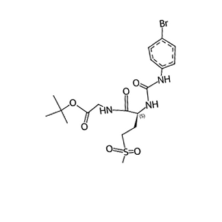 CC(C)(C)OC(=O)CNC(=O)[C@H](CCS(C)(=O)=O)NC(=O)Nc1ccc(Br)cc1